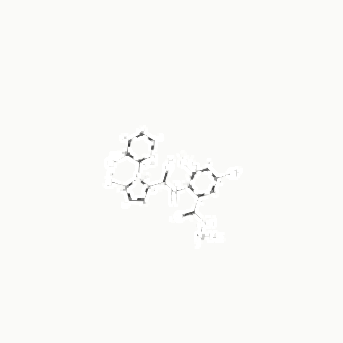 CC(=O)NNC(=O)c1cc(Cl)cc(C)c1NC(=O)c1ccc(Cl)n1-c1ncccc1Cl